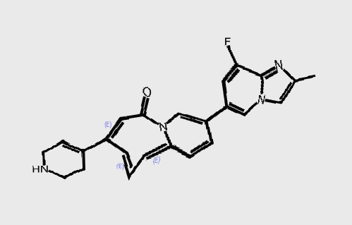 Cc1cn2cc(C3=CN4C(=O)\C=C(C5=CCNCC5)/C=C/C=C/4C=C3)cc(F)c2n1